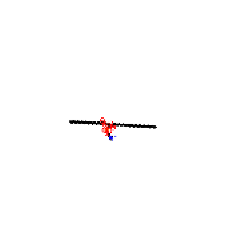 CCCCCCCCCCCCCCCCCCCCCC(=O)O[C@H](COC(=O)CCCCCCCCCCCCCCCC)COP(=O)([O-])OCC[N+](C)(C)C